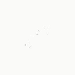 Cc1sc(N2CCc3cc(F)ccc3C2)c(C)c1C(C(N)=O)C(C)(C)C